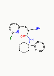 N#CC(=Cc1cccc(Br)n1)C(=O)NC1(c2ccccc2)CCCCC1